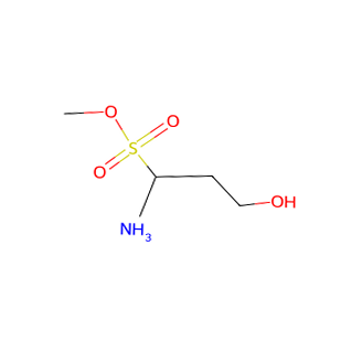 COS(=O)(=O)C(C)CCO.N